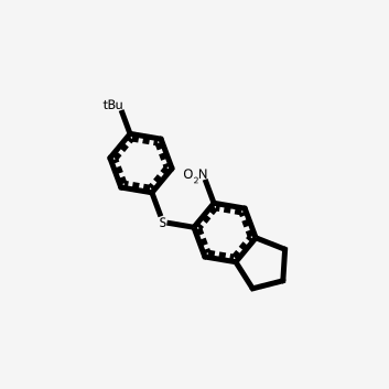 CC(C)(C)c1ccc(Sc2cc3c(cc2[N+](=O)[O-])CCC3)cc1